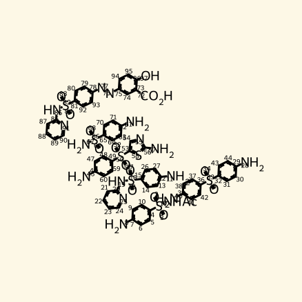 CC(=O)NS(=O)(=O)c1ccc(N)cc1.Nc1ccc(S(=O)(=O)Nc2ccccn2)cc1.Nc1ccc(S(=O)(=O)c2ccc(N)cc2)cc1.Nc1ccc(S(=O)(=O)c2cnc(N)s2)cc1.Nc1ccc(S(N)(=O)=O)cc1.O=C(O)c1cc(N=Nc2ccc(S(=O)(=O)Nc3ccccn3)cc2)ccc1O